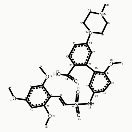 COc1cc(OC)c(C=CS(=O)(=O)Nc2ccc(OC)c(-c3cc(N4CCN(C)CC4)ccc3C(=O)O)c2)c(OC)c1